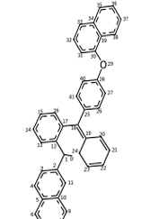 CC(c1ccc2ccccc2c1)c1ccccc1/C(=C1/C=CC=CC1)c1ccc(Oc2cccc3ccccc23)cc1